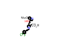 COc1ccc2nccc(C(O)CC[C@@H]3CCN(CC#Cc4ccc(Cl)c(F)c4)C[C@@H]3CC(=O)O)c2c1